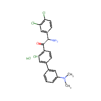 CN(C)c1cccc(-c2ccc(C(=O)C(N)c3ccc(Cl)c(Cl)c3)cc2)c1.Cl.Cl